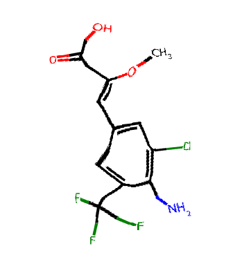 COC(=Cc1cc(Cl)c(N)c(C(F)(F)F)c1)C(=O)O